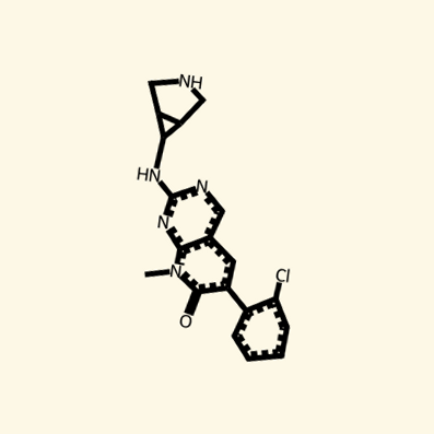 Cn1c(=O)c(-c2ccccc2Cl)cc2cnc(NC3C4CNCC43)nc21